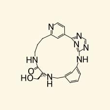 O=C1NCCCc2cc(ccn2)-c2ncnc(n2)Nc2cccc(c2)CN[C@H]1CO